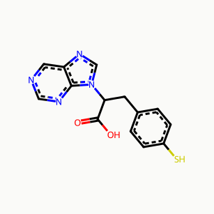 O=C(O)C(Cc1ccc(S)cc1)n1cnc2cncnc21